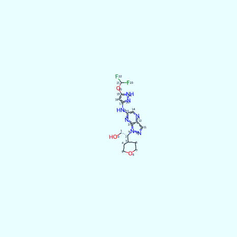 OC[C@@H](C1CCOCC1)n1ncc2ncc(Nc3cc(OC(F)F)[nH]n3)nc21